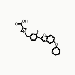 O=C(O)C1CN(Cc2ccc(-c3cc4cc(Oc5ccccc5)ccc4o3)c(F)c2)C1